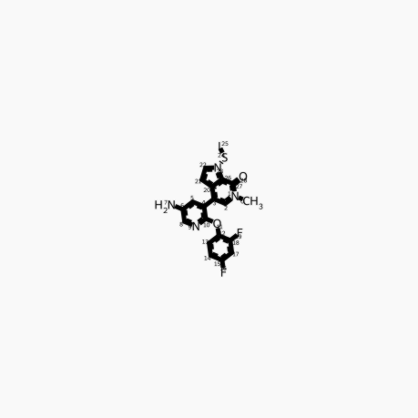 Cn1cc(-c2cc(N)cnc2Oc2ccc(F)cc2F)c2ccn(SI)c2c1=O